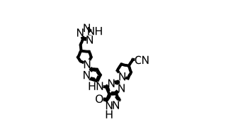 N#CCC1CCN(c2nc(Nc3ccc(N4CCC(Cc5nn[nH]n5)CC4)nc3)c3c(=O)[nH]ncc3n2)CC1